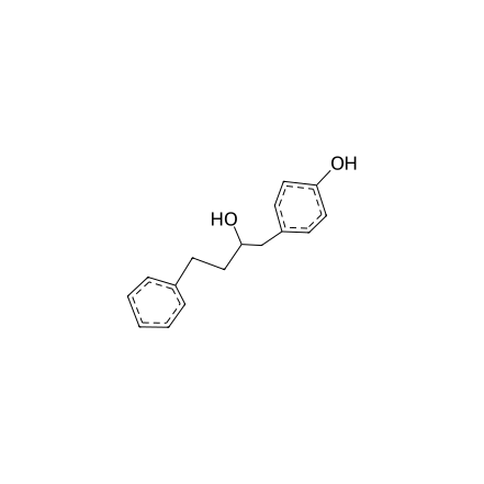 Oc1ccc(CC(O)CCc2ccccc2)cc1